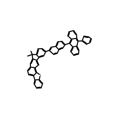 CC1(C)c2ccc(-c3ccc4cc(-c5c6ccccc6c(-c6ccccc6)c6ccccc56)ccc4c3)cc2-c2cc3c(ccc4c5ccccc5sc34)cc21